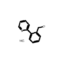 Cl.ClCc1ccccc1-c1ccccn1